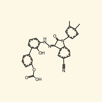 Cc1ccc(N2C(=O)C(=NNc3cccc(-c4cccc(OC(=O)O)c4)c3O)c3cc(C#N)ccc32)cc1C